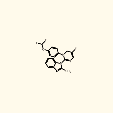 Cc1nc2ccccc2n1C1=NC=C(F)CN1c1ccc(OC(F)F)cc1